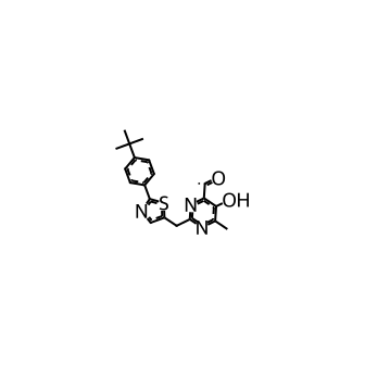 Cc1nc(Cc2cnc(-c3ccc(C(C)(C)C)cc3)s2)nc([C]=O)c1O